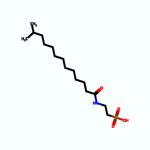 CC(C)CCCCCCCCCCC(=O)NCCS(=O)(=O)O